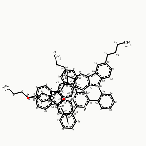 CCCCc1ccc2c(c1)c1cc(I)ccc1n2-c1ccccc1-c1nc(-c2ccccc2-n2c3ccc(I)cc3c3cc(I)ccc32)nc(-c2ccccc2-n2c3ccc(CCCC)cc3c3cc(CCCC)ccc32)n1